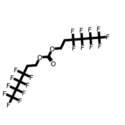 O=C(OCCC(F)(F)C(F)(F)C(F)(F)C(F)(F)F)OCCC(F)(F)C(F)(F)C(F)(F)C(F)(F)F